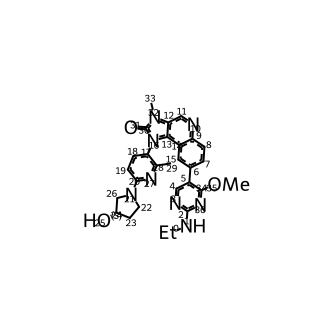 CCNc1ncc(-c2ccc3ncc4c(c3c2)n(-c2ccc(N3CC[C@H](O)C3)nc2C)c(=O)n4C)c(OC)n1